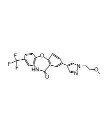 COCCn1cc(-c2ccc3c(c2)C(=O)Nc2cc(C(F)(F)F)ccc2O3)cn1